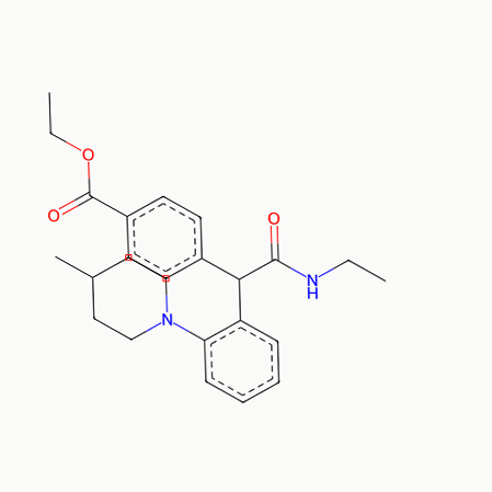 CCNC(=O)C(c1ccc(C(=O)OCC)cc1)c1ccccc1N1CCC(C)CC1